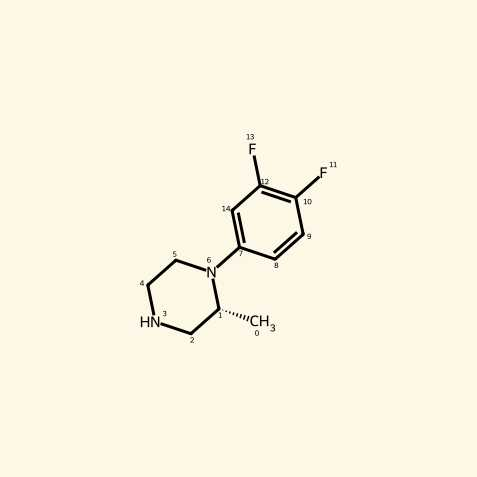 C[C@@H]1CNCCN1c1ccc(F)c(F)c1